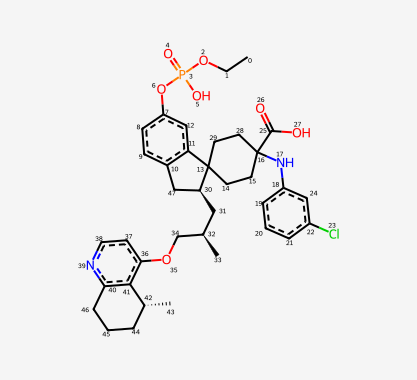 CCOP(=O)(O)Oc1ccc2c(c1)C1(CCC(Nc3cccc(Cl)c3)(C(=O)O)CC1)[C@@H](C[C@@H](C)COc1ccnc3c1[C@H](C)CCC3)C2